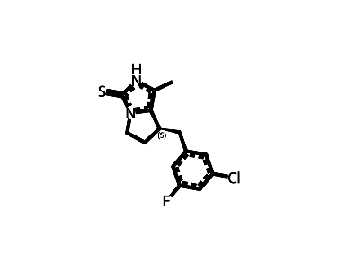 Cc1[nH]c(=S)n2c1[C@@H](Cc1cc(F)cc(Cl)c1)CC2